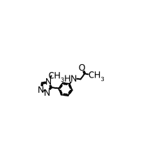 CC(=O)CNc1cccc(-c2nncn2C)c1